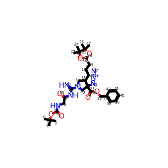 CC(C)(C)OC(=O)NCC(=O)NC(=N)N1CC(CCCB2OC(C)(C)C(C)(C)O2)C(N=[N+]=[N-])(C(=O)OCc2ccccc2)C1